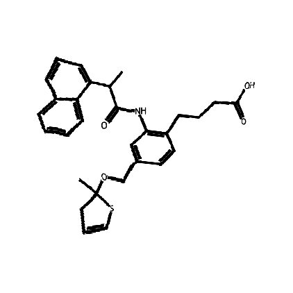 CC(C(=O)Nc1cc(COC2(C)CC=CS2)ccc1CCCC(=O)O)c1cccc2ccccc12